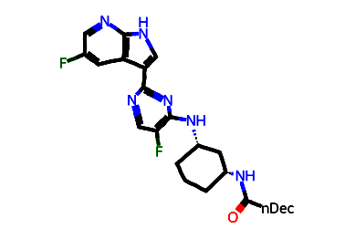 CCCCCCCCCCC(=O)N[C@@H]1CCC[C@H](Nc2nc(-c3c[nH]c4ncc(F)cc34)ncc2F)C1